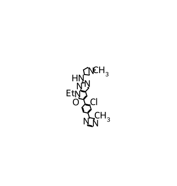 CCn1c(=O)c(-c2ccc(-c3nccnc3C)cc2Cl)cc2cnc(N[C@@H]3CCN(C)C3)nc21